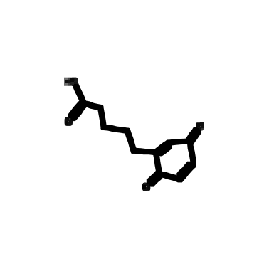 O=C1C=CC(=O)C(CCCCC(=O)O)=C1